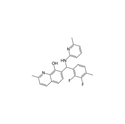 Cc1cccc(NC(c2ccc(C)c(F)c2F)c2ccc3ccc(C)nc3c2O)n1